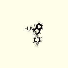 CN1CCN(CCc2ccccc2C(N)=O)CC1